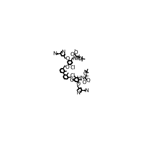 COC(=O)[C@@H](NCc1cc(Cl)c(OCc2cccc(-c3cccc(COc4cc(OCc5cncc(C#N)c5)c(CN[C@H](C(=O)OC)[C@@H](C)OC(C)(C)C)cc4Cl)c3C)c2C)cc1OCc1cncc(C#N)c1)[C@@H](C)OC(C)(C)C